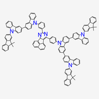 CC1(C)c2ccccc2-c2ccc(-n3c4ccccc4c4cc(-c5ccc6c(c5)c5ccccc5n6-c5cccc(-c6nc(-c7ccc(-n8c9ccc(-c%10ccc%11c(c%10)c%10ccccc%10n%11-c%10ccc%11c(c%10)C(C)(C)c%10ccccc%10-%11)cc9c9cc(-c%10ccc%11c(c%10)c%10ccccc%10n%11-c%10ccc%11c(c%10)C(C)(C)c%10ccccc%10-%11)ccc98)cc7)c7c(n6)-c6cccc8cccc-7c68)c5)ccc43)cc21